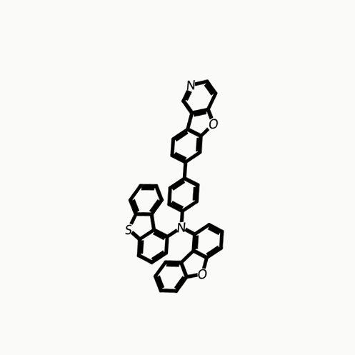 c1ccc2c(c1)oc1cccc(N(c3ccc(-c4ccc5c(c4)oc4ccncc45)cc3)c3cccc4sc5ccccc5c34)c12